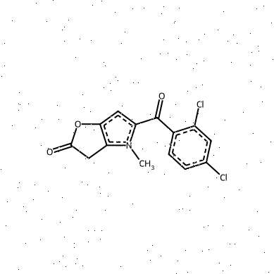 Cn1c(C(=O)c2ccc(Cl)cc2Cl)cc2c1CC(=O)O2